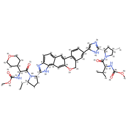 CC[C@H]1CC[C@@H](c2nc3ccc4cc5c(cc4c3[nH]2)OCc2cc(-c3cnc([C@@H]4C[C@H](C)CN4C(=O)[C@@H](NC(=O)OC)C(C)C)[nH]3)ccc2-5)N1C(=O)[C@@H](NC(=O)OC)C1CCOCC1